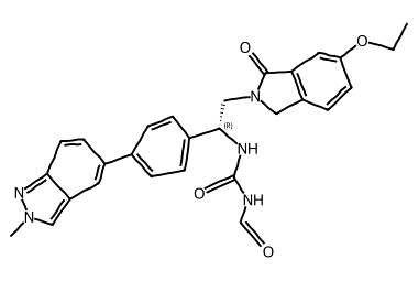 CCOc1ccc2c(c1)C(=O)N(C[C@H](NC(=O)NC=O)c1ccc(-c3ccc4nn(C)cc4c3)cc1)C2